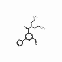 CCCN(CCC)C(=O)c1cc(C=O)cc(-c2ncco2)c1